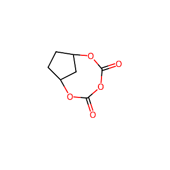 O=C1OC(=O)OC2CCC(C2)O1